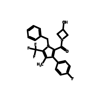 Cc1c(-c2ccc(F)cc2)c(C(=O)N2CC(O)C2)n(Cc2ccccc2)c1C(F)(F)F